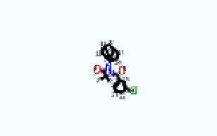 CC1(C)C(=O)N(C2C3CC4CC(C3)CC2C4)N1C(=O)c1cccc(Cl)c1